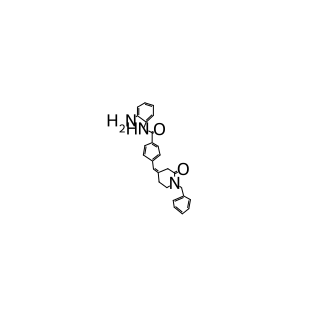 Nc1ccccc1NC(=O)c1ccc(/C=C2/CCN(Cc3ccccc3)C(=O)C2)cc1